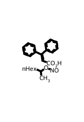 CCCCCCC(C)ON=O.O=C(O)C=C(c1ccccc1)c1ccccc1